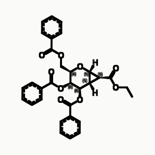 CCOC(=O)[C@@H]1[C@H]2O[C@H](COC(=O)c3ccccc3)[C@H](OC(=O)c3ccccc3)[C@H](OC(=O)c3ccccc3)[C@H]21